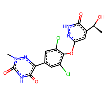 C[C@H](O)c1cc(Oc2c(Cl)cc(-c3nn(C)c(=O)[nH]c3=O)cc2Cl)n[nH]c1=O